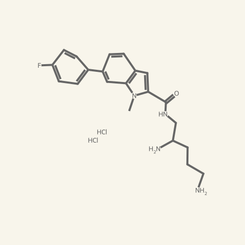 Cl.Cl.Cn1c(C(=O)NCC(N)CCCN)cc2ccc(-c3ccc(F)cc3)cc21